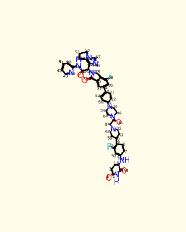 O=C1CCC(Nc2ccc(C3CCN(CC(=O)N4CCN(c5ccc(-c6cc(F)c7c(c6)C(=O)N(C(C(=O)Nc6ccccn6)c6ncn8c6CCC8)C7)cc5)CC4)CC3)c(F)c2)C(=O)N1